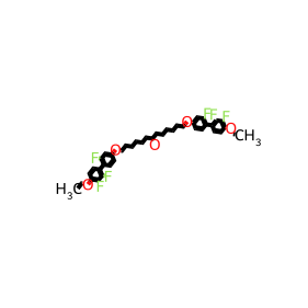 CCOc1ccc(-c2ccc(OCCCCCCC(=O)CCCCCCOc3ccc(-c4ccc(OCC)c(F)c4F)c(F)c3)cc2F)c(F)c1F